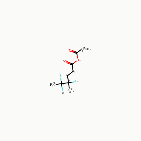 CCCCCC(=O)OC(=O)CCC(F)(C(F)(F)F)C(F)(F)C(F)(F)F